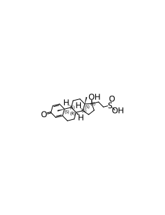 C[C@]12C=CC(=O)C=C1CC[C@@H]1[C@@H]2CC[C@@]2(C)[C@H]1CC[C@@]2(O)CCS(=O)O